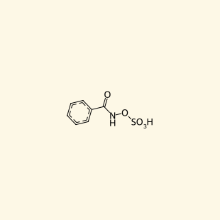 O=C(NOS(=O)(=O)O)c1ccccc1